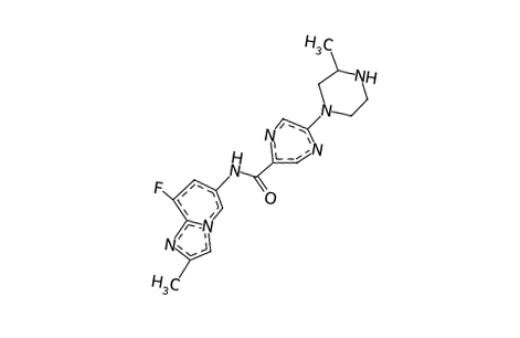 Cc1cn2cc(NC(=O)c3cnc(N4CCNC(C)C4)cn3)cc(F)c2n1